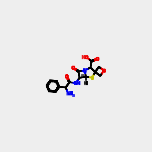 NC(C(=O)NC1C(=O)N2C(C(=O)O)C3(COC3)S[C@@H]12)c1ccccc1